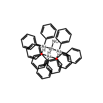 O=[N][Rh]([AsH](c1ccccc1)(c1ccccc1)c1ccccc1)([AsH](c1ccccc1)(c1ccccc1)c1ccccc1)[AsH](c1ccccc1)(c1ccccc1)c1ccccc1